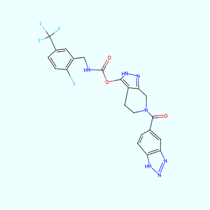 O=C(NCc1cc(C(F)(F)F)ccc1F)Oc1[nH]nc2c1CCN(C(=O)c1ccc3[nH]nnc3c1)C2